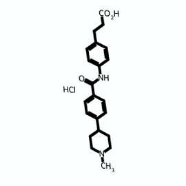 CN1CCC(c2ccc(C(=O)Nc3ccc(CCC(=O)O)cc3)cc2)CC1.Cl